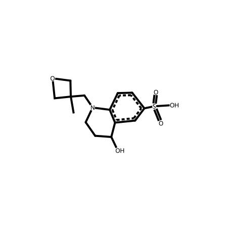 CC1(CN2CCC(O)c3cc(S(=O)(=O)O)ccc32)COC1